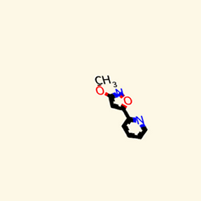 COc1cc(-c2ccccn2)on1